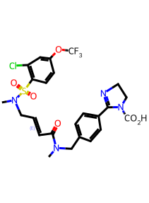 CN(Cc1ccc(C2=NCCN2C(=O)O)cc1)C(=O)/C=C/CN(C)S(=O)(=O)c1ccc(OC(F)(F)F)cc1Cl